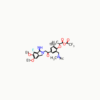 CCOc1cc2c(c(F)c1OCC)C(=N)N(CC(=O)c1cc(CN(C)C(C)=O)c(OC(C)C(=O)OC(=O)C(F)(F)F)c(C(C)(C)C)c1)C2